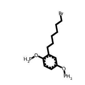 POc1ccc(OP)c(CCCCCCBr)c1